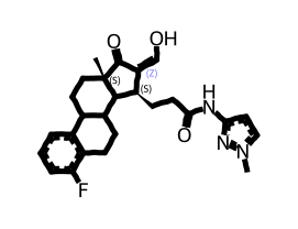 Cn1ccc(NC(=O)CC[C@@H]2/C(=C/O)C(=O)[C@@]3(C)CCC4c5cccc(F)c5CCC4C23)n1